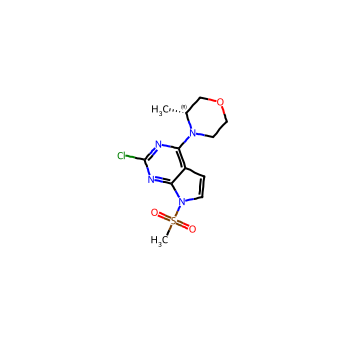 C[C@@H]1COCCN1c1nc(Cl)nc2c1ccn2S(C)(=O)=O